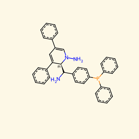 NC(c1ccc(P(c2ccccc2)c2ccccc2)cc1)[C@H]1C(c2ccccc2)=CC(c2ccccc2)=CN1N